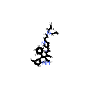 C=C(/C=C/c1ccc(CCCN(CCC)CCC)nc1)C1=C(c2ccccc2)c2cc(C)ccc2NC1=C